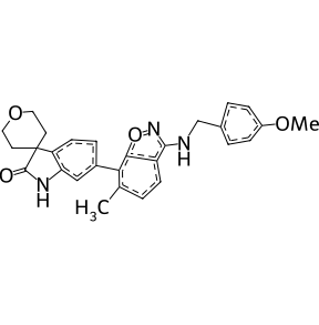 COc1ccc(CNc2noc3c(-c4ccc5c(c4)NC(=O)C54CCOCC4)c(C)ccc23)cc1